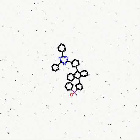 CP(=O)(c1ccccc1)c1cccc(-c2c3ccccc3c(-c3cccc(-c4nc(-c5ccccc5)nc(-c5ccccc5)n4)c3)c3ccccc23)c1